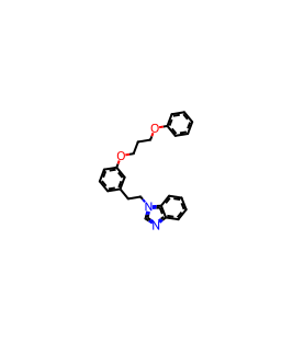 c1ccc(OCCCOc2cccc(CCn3cnc4ccccc43)c2)cc1